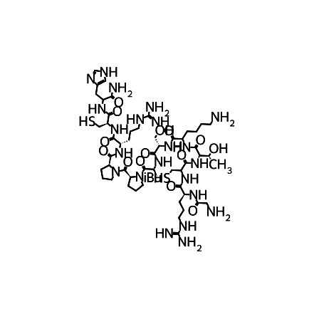 CC[C@H](C)[C@H](NC(=O)[C@H](CO)NC(=O)C(CCCCN)NC(=O)[C@@H](NC(=O)C(CS)NC(=O)[C@H](CCCNC(=N)N)NC(=O)CN)[C@@H](C)O)C(=O)N1CCC[C@H]1C(=O)N1CCC[C@H]1C(=O)N[C@@H](CCCNC(=N)N)C(=O)N[C@@H](CS)C(=O)NC(Cc1c[nH]cn1)C(N)=O